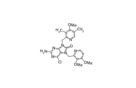 COc1ccnc(Cn2c(=O)n(Cc3ncc(C)c(OC)c3C)c3nc(N)nc(Cl)c32)c1OC